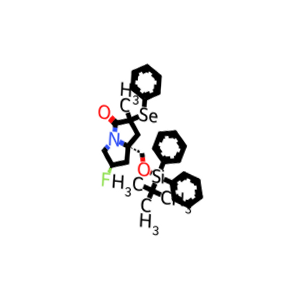 CC1([Se]c2ccccc2)C[C@@]2(CO[Si](c3ccccc3)(c3ccccc3)C(C)(C)C)C[C@@H](F)CN2C1=O